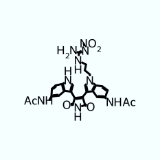 CC(=O)Nc1ccc2[nH]cc(C3=C(c4cn(CCCNC(N)=N[N+](=O)[O-])c5ccc(NC(C)=O)cc45)C(=O)NC3=O)c2c1